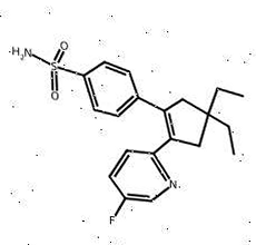 CCC1(CC)CC(c2ccc(S(N)(=O)=O)cc2)=C(c2ccc(F)cn2)C1